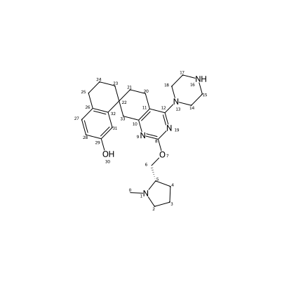 CN1CCC[C@H]1COc1nc2c(c(N3CCNCC3)n1)CCC1(CCCc3ccc(O)cc31)C2